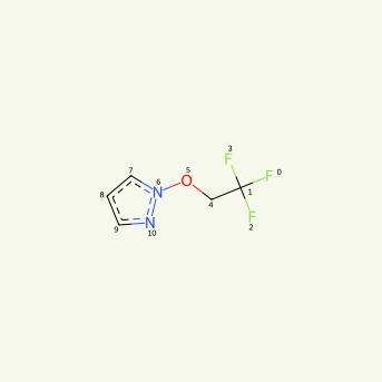 FC(F)(F)COn1cccn1